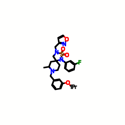 CC(C)Oc1cccc(CN2CCC3(CC2C)CN(Cc2ccon2)S(=O)(=O)N3c2cccc(F)c2)c1